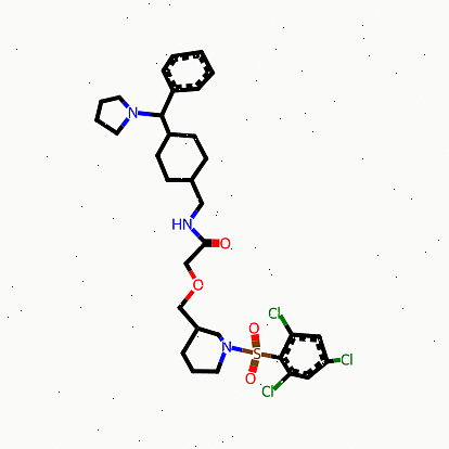 O=C(COCC1CCCN(S(=O)(=O)c2c(Cl)cc(Cl)cc2Cl)C1)NCC1CCC(C(c2ccccc2)N2CCCC2)CC1